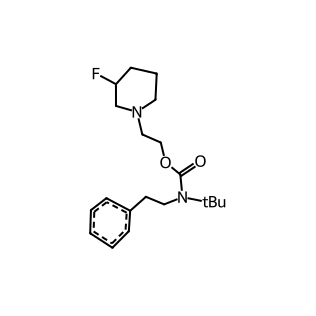 CC(C)(C)N(CCc1ccccc1)C(=O)OCCN1CCCC(F)C1